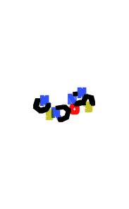 c1cncc(SN2CCC(Oc3ncnc4ccsc34)CC2)c1